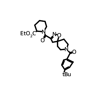 CCOC(=O)C1CCCCN1C(=O)C1=NOC2(CCN(C(=O)c3ccc(C(C)(C)C)cc3)CC2)C1